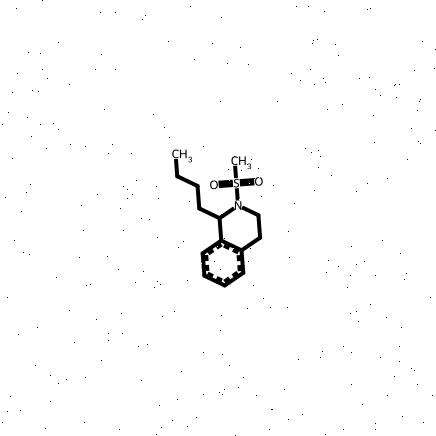 CCCCC1c2ccccc2CCN1S(C)(=O)=O